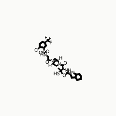 CC(C)(S)[C@H](NC(=O)c1cc2ccccc2[nH]1)C(=O)N1C[C@@H]2C[C@H]1CN2C(=O)CNS(=O)(=O)c1cc(C(F)(F)F)ccc1Cl